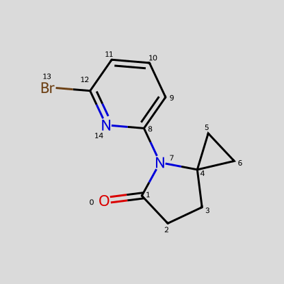 O=C1CCC2(CC2)N1c1cccc(Br)n1